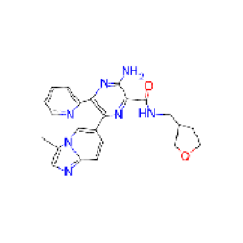 Cc1cnc2ccc(-c3nc(C(=O)NCC4CCOC4)c(N)nc3-c3ccccn3)cn12